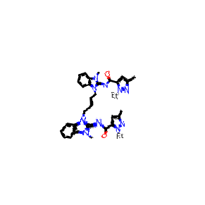 CCn1nc(C)cc1C(=O)/N=c1\n(C)c2ccccc2n1C/C=C/Cn1/c(=N/C(=O)c2cc(C)nn2CC)n(C)c2ccccc21